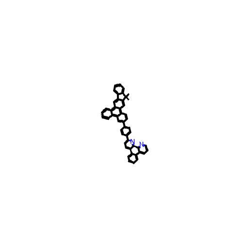 CC1(C)c2ccccc2-c2cc3c4ccccc4c4cc(-c5ccc(-c6ccc7c8ccccc8c8cccnc8c7n6)cc5)ccc4c3cc21